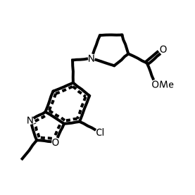 COC(=O)C1CCN(Cc2cc(Cl)c3oc(C)nc3c2)C1